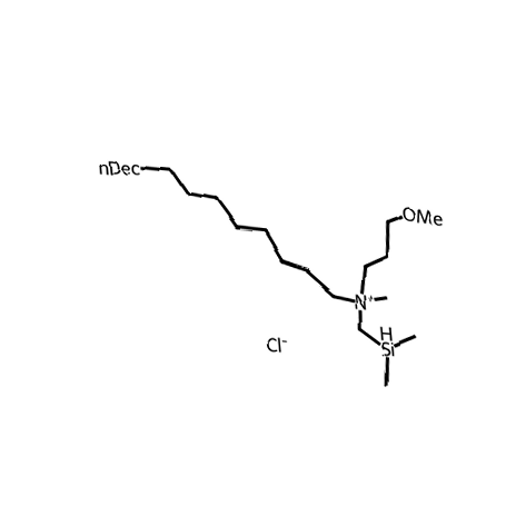 CCCCCCCCCCCCCCCCCC[N+](C)(CCCOC)C[SiH](C)C.[Cl-]